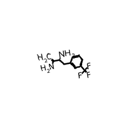 C=C(N)[C@@H](N)Cc1cccc(C(F)(F)F)c1